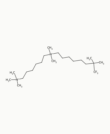 CC(C)(CCCCCC[N+](C)(C)CCCCCC[N+](C)(C)C)C(F)(F)F